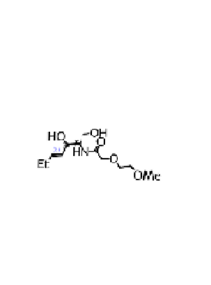 CC/C=C/[C@@H](O)[C@H](CO)NC(=O)COCCOC